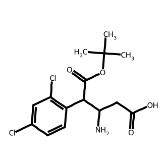 CC(C)(C)OC(=O)C(c1ccc(Cl)cc1Cl)C(N)CC(=O)O